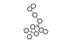 c1ccc(C2(c3ccccc3)c3ccccc3-c3c(N(c4cccc(-c5ccc(-c6cccc7ccccc67)cc5)c4)c4ccc5ccccc5c4)cccc32)cc1